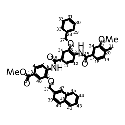 COC(=O)c1ccc(NC(=O)c2ccc(NC(=O)c3ccc(C)c(OC)c3)c(OCc3ccccc3)c2)c(OCc2ccc3ccccc3c2)c1